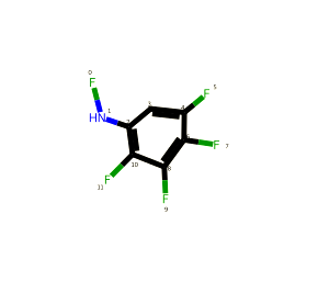 FNc1cc(F)c(F)c(F)c1F